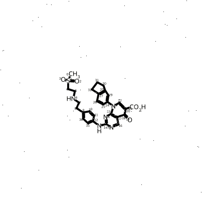 CS(=O)(=O)CCNCCc1ccc(Nc2ncc3c(=O)c(C(=O)O)cn(-c4ccc5c(c4)CCC5)c3n2)cc1